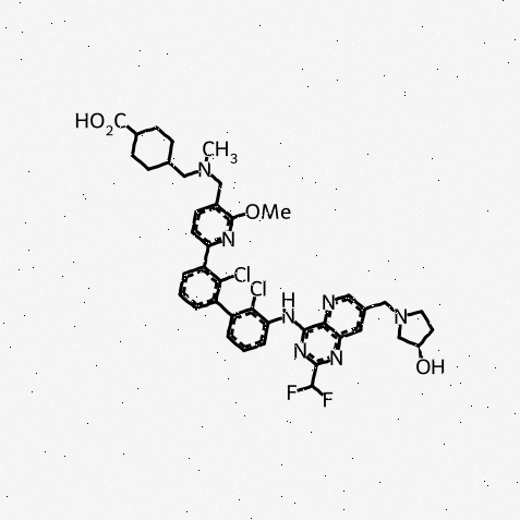 COc1nc(-c2cccc(-c3cccc(Nc4nc(C(F)F)nc5cc(CN6CC[C@@H](O)C6)cnc45)c3Cl)c2Cl)ccc1CN(C)CC1CCC(C(=O)O)CC1